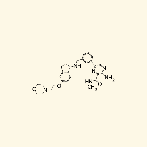 CNC(=O)c1nc(-c2cccc(CNC3CCc4cc(OCCN5CCOCC5)ccc43)c2)cnc1N